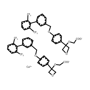 O=C([O-])COC1(c2ccc(OCc3cccc(-c4c(C(F)(F)F)cccc4C(F)(F)F)c3)cc2)COC1.O=C([O-])COC1(c2ccc(OCc3cccc(-c4c(C(F)(F)F)cccc4C(F)(F)F)c3)cc2)COC1.[Ca+2]